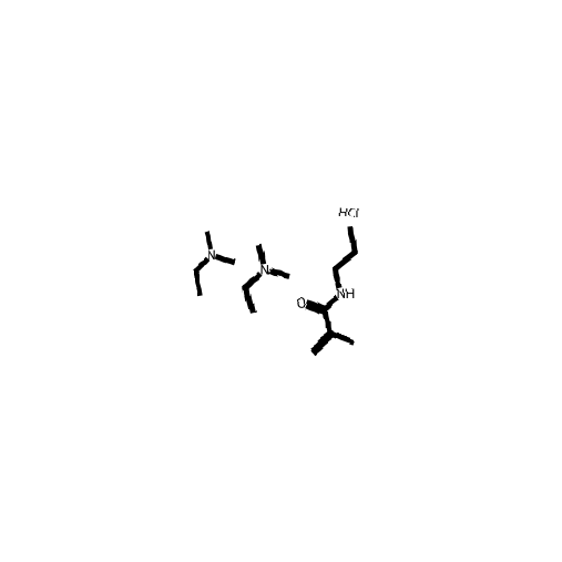 C=C(C)C(=O)NCCC.CCN(C)C.CCN(C)C.Cl